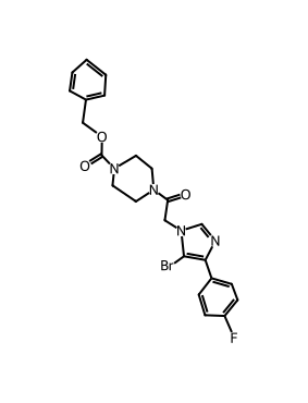 O=C(Cn1cnc(-c2ccc(F)cc2)c1Br)N1CCN(C(=O)OCc2ccccc2)CC1